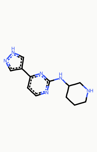 c1cc(-c2cn[nH]c2)nc(NC2CCCNC2)n1